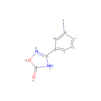 O=c1[nH]c(-c2cccc(I)c2)no1